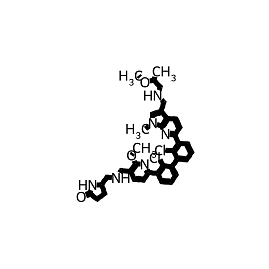 COc1nc(-c2cccc(-c3cccc(-c4ccc5c(CNCC(C)OC)cn(C)c5n4)c3Cl)c2Cl)ccc1CNCC1CCC(=O)N1